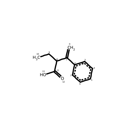 C=C(c1ccccc1)C(CC)C(=O)O